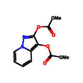 COC(=O)Oc1nn2ccccc2c1OC(=O)OC